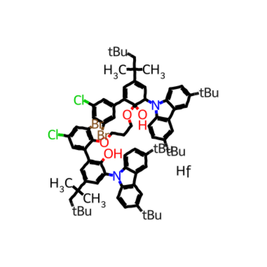 CC(C)(C)CC(C)(C)C1=CC(n2c3ccc(C(C)(C)C)cc3c3cc(C(C)(C)C)ccc32)C(O)(OCCCOc2c(Br)cc(Cl)cc2-c2cc(C(C)(C)CC(C)(C)C)cc(-n3c4ccc(C(C)(C)C)cc4c4cc(C(C)(C)C)ccc43)c2O)C(c2cc(Cl)cc(Br)c2)=C1.[Hf]